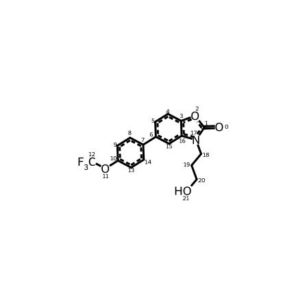 O=c1oc2ccc(-c3ccc(OC(F)(F)F)cc3)cc2n1CCCO